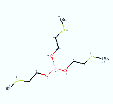 CC(C)(C)SCCOB(OCCSC(C)(C)C)OCCSC(C)(C)C